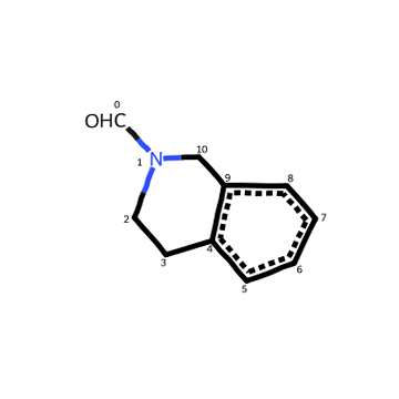 O=CN1CCc2ccccc2C1